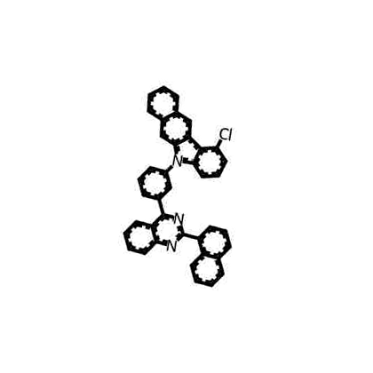 Clc1cccc2c1c1cc3ccccc3cc1n2-c1cccc(-c2nc(-c3cccc4ccccc34)nc3ccccc23)c1